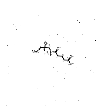 COCC(C)(C)CNC(=O)CCCC(=O)C(C)C